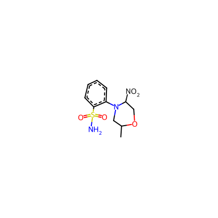 CC1CN(c2ccccc2S(N)(=O)=O)C([N+](=O)[O-])CO1